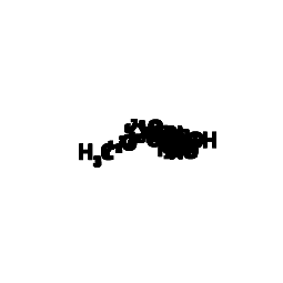 CCCCOc1cccc(C2OC=C(c3ncnc4c(C(=O)O)c[nH]c34)O2)c1